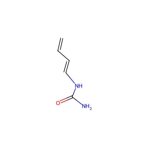 C=C/C=C/NC(N)=O